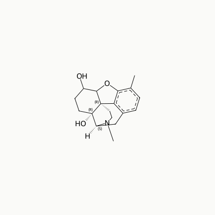 Cc1ccc2c3c1OC1C(O)CC[C@]4(O)[C@H](C2)N(C)CC[C@@]314